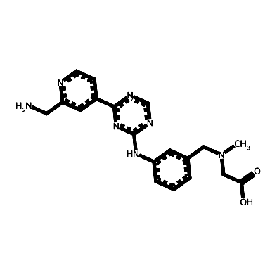 CN(CC(=O)O)Cc1cccc(Nc2ncnc(-c3ccnc(CN)c3)n2)c1